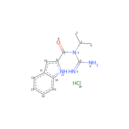 CC(C)N(C(=N)N)C(=O)c1cc2ccccc2[nH]1.Cl